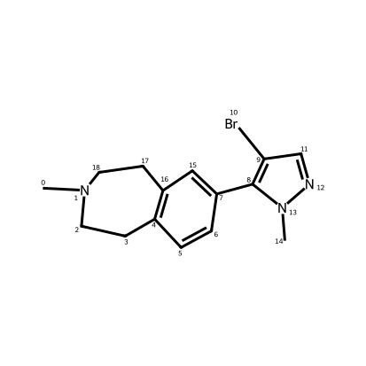 CN1CCc2ccc(-c3c(Br)cnn3C)cc2CC1